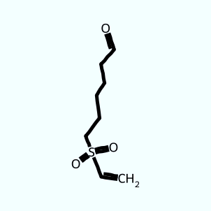 C=CS(=O)(=O)CCCCCC=O